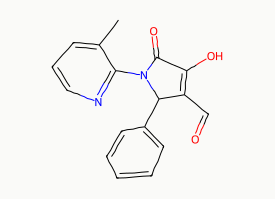 Cc1cccnc1N1C(=O)C(O)=C(C=O)C1c1ccccc1